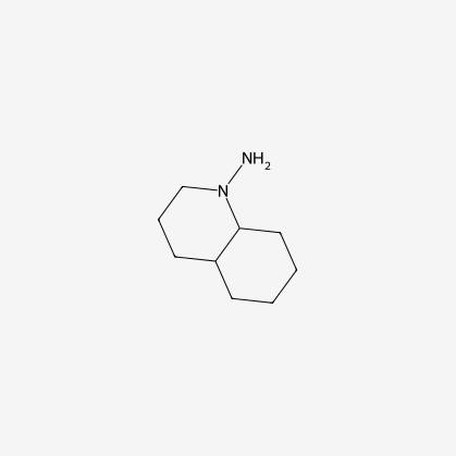 NN1CCCC2CCCCC21